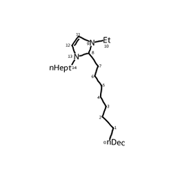 CCCCCCCCCCCCCCCCCC1N(CC)C=CN1CCCCCCC